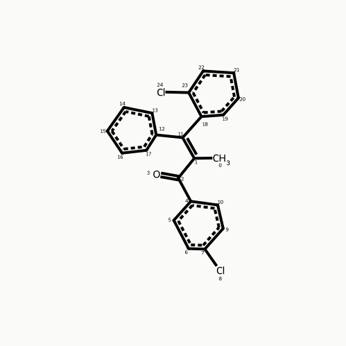 CC(C(=O)c1ccc(Cl)cc1)=C(c1ccccc1)c1ccccc1Cl